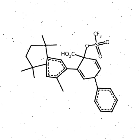 Cc1cc2c(cc1C1=CC(c3ccccc3)C=CC1(OS(=O)(=O)C(F)(F)F)C(=O)O)C(C)(C)CCC2(C)C